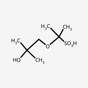 CC(C)(O)COC(C)(C)S(=O)(=O)O